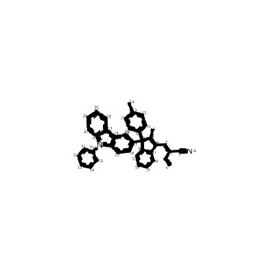 C=C/C(C#N)=C\C1=C(C)C(c2ccc(C)cc2)(c2ccc3c(c2)c2ccccc2n3-c2ccccc2)c2ccccc21